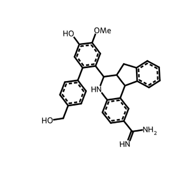 COc1cc(C2Nc3ccc(C(=N)N)cc3C3c4ccccc4CC23)c(-c2ccc(CO)cc2)cc1O